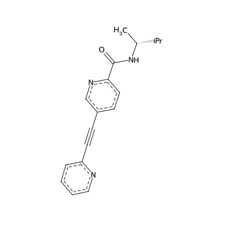 CC(C)[C@@H](C)NC(=O)c1ccc(C#Cc2ccccn2)cn1